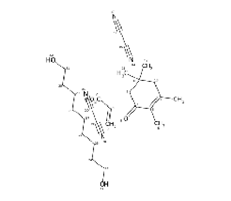 C=CC(=O)O.CC1=C(C)C(=O)CC(C)(C)C1.N#CC#N.N#CC#N.OCCCCCCCCCO